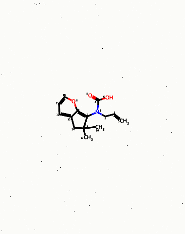 C=CCN(C(=O)O)C1=C2OC=CC=C2CC1(C)C